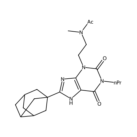 CCCn1c(=O)c2[nH]c(C34CC5CC(C3)C(C5)C4)nc2n(CCN(C)C(C)=O)c1=O